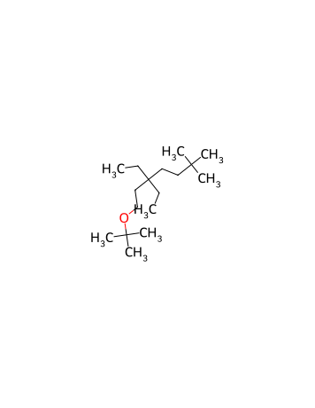 CCC(CC)(CCOC(C)(C)C)CCC(C)(C)C